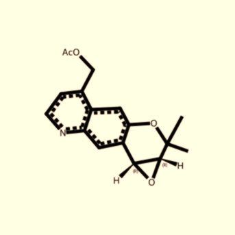 CC(=O)OCc1ccnc2cc3c(cc12)OC(C)(C)[C@@H]1O[C@H]31